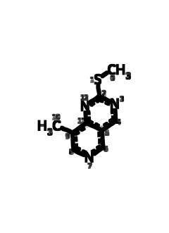 CSc1ncc2cncc(C)c2n1